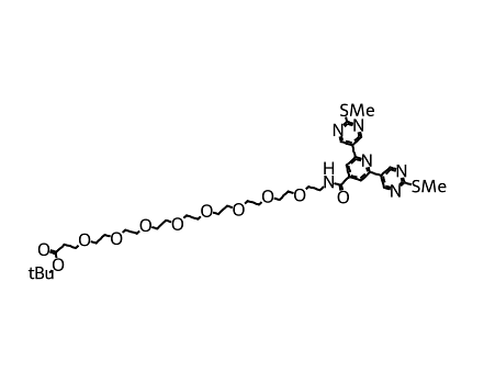 CSc1ncc(-c2cc(C(=O)NCCOCCOCCOCCOCCOCCOCCOCCOCCC(=O)OC(C)(C)C)cc(-c3cnc(SC)nc3)n2)cn1